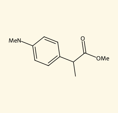 CNc1ccc(C(C)C(=O)OC)cc1